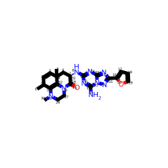 CC1C=CC2(C)C[C@H](Nc3nc(N)n4nc(-c5ccco5)nc4n3)C(=O)N3CCN(C)C1=C32